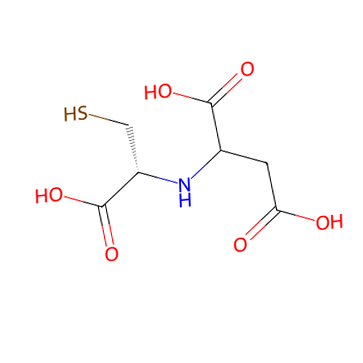 O=C(O)CC(N[C@@H](CS)C(=O)O)C(=O)O